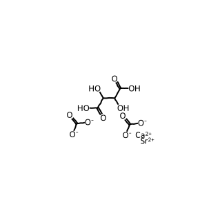 O=C(O)C(O)C(O)C(=O)O.O=C([O-])[O-].O=C([O-])[O-].[Ca+2].[Sr+2]